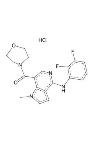 Cl.Cn1ccc2c(Nc3cccc(F)c3F)ncc(C(=O)N3CCOCC3)c21